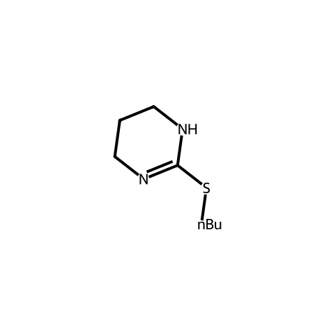 [CH2]CCCSC1=NCCCN1